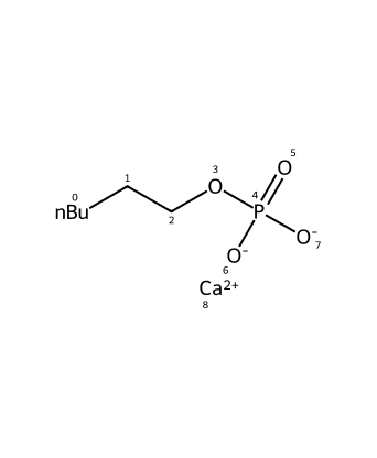 CCCCCCOP(=O)([O-])[O-].[Ca+2]